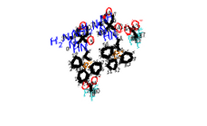 CN(CC1(C(=O)NCCC[P+](c2ccccc2)(c2ccccc2)c2ccccc2)CCOCC1)C(=N)N.CN(CC1(C(=O)NCCC[P+](c2ccccc2)(c2ccccc2)c2ccccc2)CCOCC1)C(=N)N.O=C([O-])C(F)(F)F.O=C([O-])C(F)(F)F